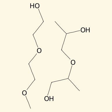 CC(O)COC(C)CO.COCCOCCO